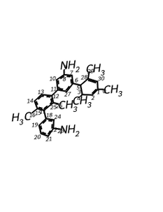 CC1=CC(C)C(c2cc(N)cc(-c3ccc(C)c(-c4cccc(N)c4)c3C)c2)C(C)=C1